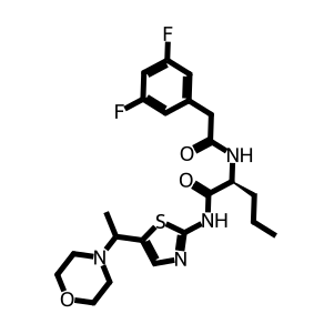 CCC[C@H](NC(=O)Cc1cc(F)cc(F)c1)C(=O)Nc1ncc(C(C)N2CCOCC2)s1